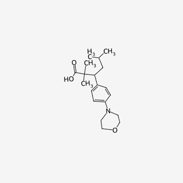 CC(C)CC(c1ccc(N2CCOCC2)cc1)C(C)(C)C(=O)O